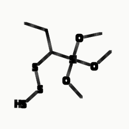 CCC(SSS)[Si](OC)(OC)OC